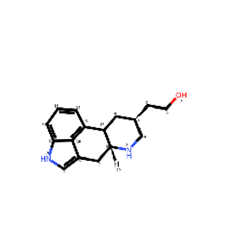 OCC[C@H]1CN[C@@H]2Cc3c[nH]c4cccc(c34)C2C1